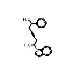 CC(CC#CCC(C)n1ccc2ccccc21)c1ccccc1